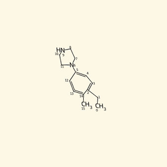 CCC1=CC=C(N2CCNCC2)C=C=C1C